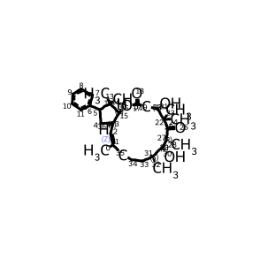 C/C1=C/[C@@H]2CC(c3ccccc3)C(C)(C)[C@H]2OC(=O)C[C@H](O)C(C)(C)C(=O)[C@H](C)[C@@H](O)[C@@H](C)CCC1